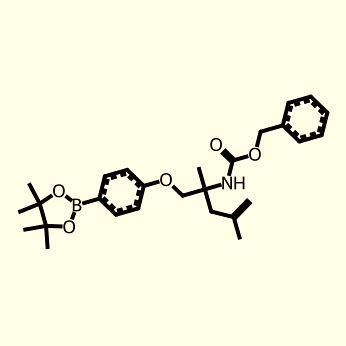 C=C(C)CC(C)(COc1ccc(B2OC(C)(C)C(C)(C)O2)cc1)NC(=O)OCc1ccccc1